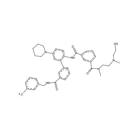 CN(CCO)CCN(C)C(=O)c1cccc(C(=O)Nc2ccc(N3CCCCC3)cc2-c2cc(C(=O)NCc3cccc(C(F)(F)F)c3)ccn2)c1